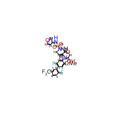 COc1cc(-c2cc(C(F)(F)F)ccc2F)c(F)cc1N1C(O)CO[C@H]2CN(S(=O)(=O)Nc3ccon3)CC[C@@H]21